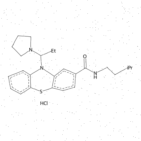 CCC(N1CCCC1)N1c2ccccc2Sc2ccc(C(=O)NCCC(C)C)cc21.Cl